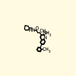 Cc1ccccc1-c1ccc2nc(N)c(C(C)CC(=O)NCC3CCCCC3)cc2c1